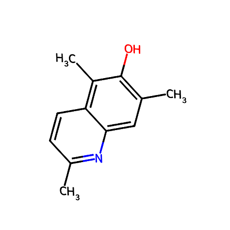 Cc1ccc2c(C)c(O)c(C)cc2n1